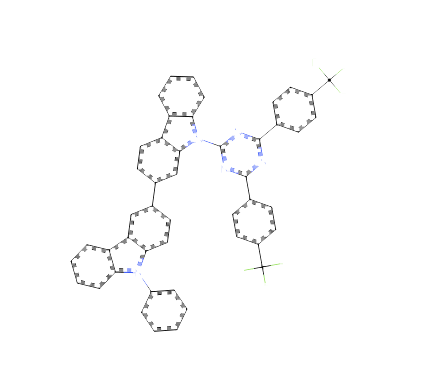 FC(F)(F)c1ccc(-c2nc(-c3ccc(C(F)(F)F)cc3)nc(-n3c4ccccc4c4ccc(-c5ccc6c(c5)c5ccccc5n6-c5ccccc5)cc43)n2)cc1